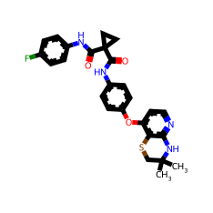 CC1(C)CSc2c(Oc3ccc(NC(=O)C4(C(=O)Nc5ccc(F)cc5)CC4)cc3)ccnc2N1